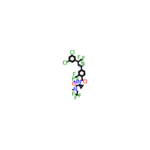 CN(CC(F)(F)F)C(=O)C1(NC(=O)c2ccc(/C(F)=C/C(c3cc(Cl)cc(Cl)c3)C(F)(F)F)cc2C(F)(F)F)CC1